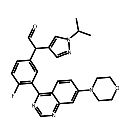 CC(C)n1cc(C(C=O)c2ccc(F)c(-c3ncnc4cc(N5CCOCC5)ccc34)c2)cn1